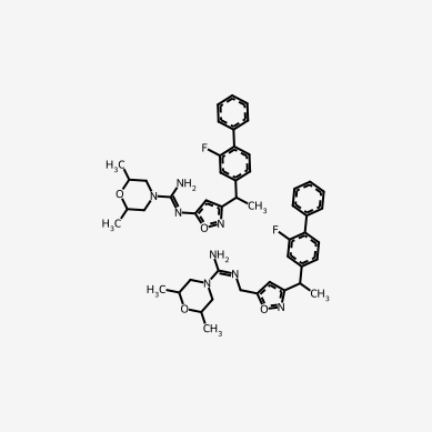 CC1CN(/C(N)=N/c2cc(C(C)c3ccc(-c4ccccc4)c(F)c3)no2)CC(C)O1.CC1CN(/C(N)=N\Cc2cc(C(C)c3ccc(-c4ccccc4)c(F)c3)no2)CC(C)O1